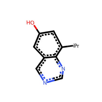 CC(C)c1cc(O)cc2cncnc12